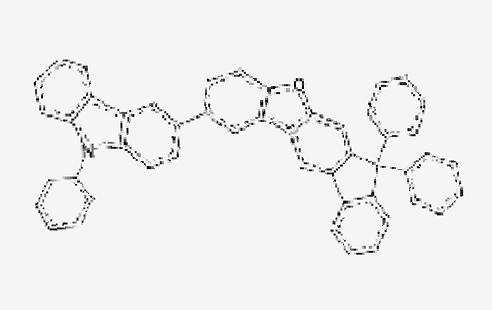 c1ccc(-n2c3ccccc3c3cc(-c4ccc5oc6cc7c(cc6c5c4)-c4ccccc4C7(c4ccccc4)c4ccccc4)ccc32)cc1